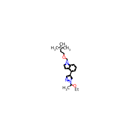 CCOC(C)n1cc(-c2cccc3c2ccn3COCC[Si](C)(C)C)cn1